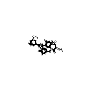 CN1CC(c2nc(-c3cc4c(cc3F)S(=O)(=O)C[C@H](N)C(=O)N4Cc3ccc(Cl)cc3)no2)CC(F)(F)C1